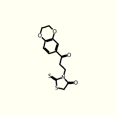 O=C(CCN1C(=O)CSC1=S)c1ccc2c(c1)OCCO2